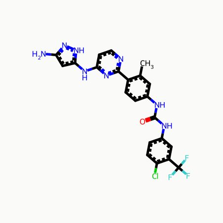 Cc1cc(NC(=O)Nc2ccc(Cl)c(C(F)(F)F)c2)ccc1-c1nccc(Nc2cc(N)n[nH]2)n1